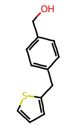 OCc1ccc(Cc2cccs2)cc1